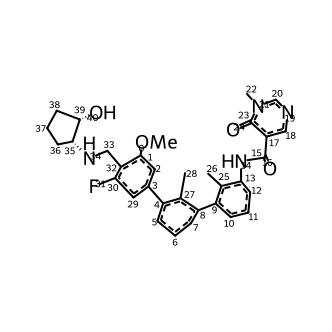 COc1cc(-c2cccc(-c3cccc(NC(=O)c4cncn(C)c4=O)c3C)c2C)cc(F)c1CN[C@@H]1CCC[C@@H]1O